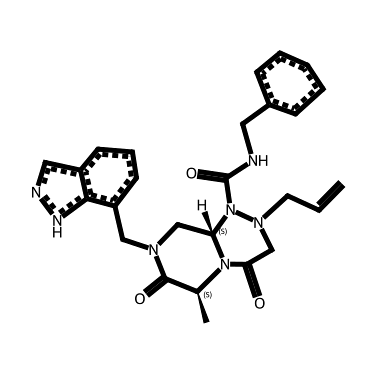 C=CCN1CC(=O)N2[C@@H](C)C(=O)N(Cc3cccc4cn[nH]c34)C[C@@H]2N1C(=O)NCc1ccccc1